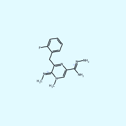 C/N=c1/c(Cc2ccccc2F)nc(/C(N)=N/N)cn1C